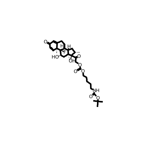 C[C@H]1C[C@H]2[C@@H]3CCC4=CC(=O)C=C[C@]4(C)[C@@]3(F)[C@@H](O)C[C@]2(C)[C@@]1(O)C(=O)COC(=O)OCCCCCNC(=O)OC(C)(C)C